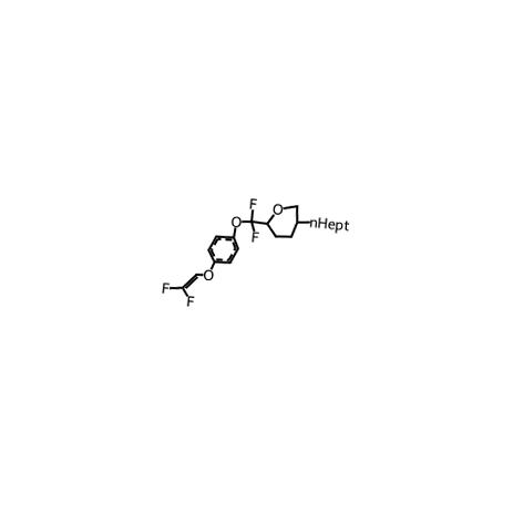 CCCCCCCC1CCC(C(F)(F)Oc2ccc(OC=C(F)F)cc2)OC1